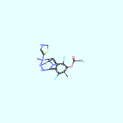 Cc1c(OC(=O)C(F)(F)F)c(F)c2c(c1F)=C1NC3C=2CN(N1)[N+]3(C)C1=CNCS1